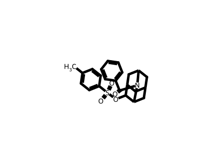 Cc1ccc(S(=O)(=O)OC2C3CC4CC(C3)N(C(=O)c3ccccc3)C2C4)cc1